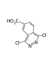 O=C(O)c1ccc2c(Cl)nnc(Cl)c2c1